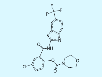 O=C(Nc1nc2ccc(C(F)(F)F)cc2s1)c1cc(Cl)ccc1OC(=O)N1CCOCC1